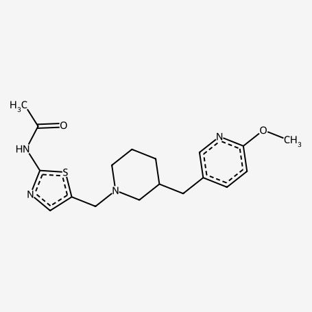 COc1ccc(CC2CCCN(Cc3cnc(NC(C)=O)s3)C2)cn1